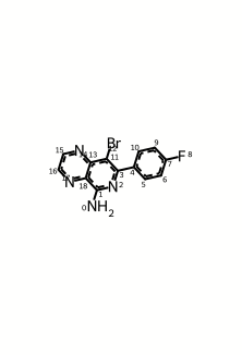 Nc1nc(-c2ccc(F)cc2)c(Br)c2nccnc12